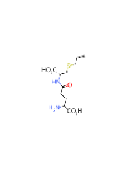 C=CCSC[C@H](NC(=O)CCC(N)C(=O)O)C(=O)O